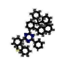 c1ccc(-c2nc(-c3cccc4c3-c3ccc5ccccc5c3C4(c3ccccc3)c3ccccc3)nc(-c3cccc4sc5ccccc5c34)n2)cc1